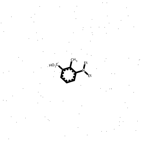 CCN(CC)c1cccc(C(=O)O)c1C